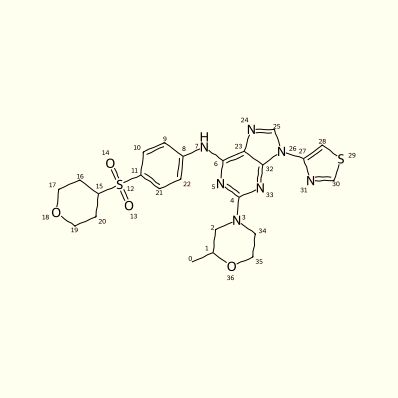 CC1CN(c2nc(Nc3ccc(S(=O)(=O)C4CCOCC4)cc3)c3ncn(-c4cscn4)c3n2)CCO1